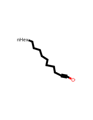 CCCCCCCCCCCCCCC#C[O]